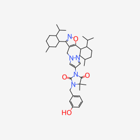 CC1CCC(C(C)C)C(c2noc(C3CC(C)CCC3C(C)C)c2Cn2cc(N3C(=O)N(Cc4cccc(O)c4)C(C)(C)C3=O)cn2)C1